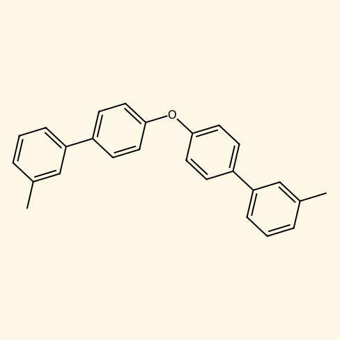 Cc1cccc(-c2ccc(Oc3ccc(-c4cccc(C)c4)cc3)cc2)c1